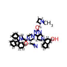 CN1CCC[C@H]1COc1nc2c(c(N3CCN(C(=O)C4CN4C(c4ccccc4)(c4ccccc4)c4ccccc4)[C@@H](CC#N)C3)n1)CCN(c1cc(O)cc3ccccc13)C2